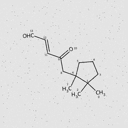 CC1(C)CCCC1(C)CC(=O)C=CC=O